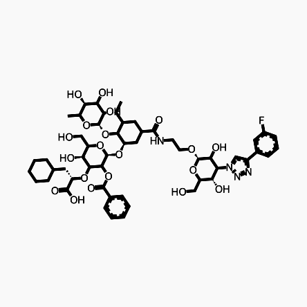 CCC1CC(C(=O)NCCO[C@H]2OC(CO)[C@@H](O)C(n3cc(-c4cccc(F)c4)nn3)C2O)C[C@@H](O[C@@H]2OC(CO)[C@H](O)C(O[C@@H](CC3CCCCC3)C(=O)O)C2OC(=O)c2ccccc2)C1O[C@@H]1OC(C)[C@@H](O)C(O)C1O